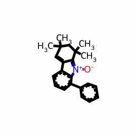 CC1(C)C=C2C(=[N+]([O-])c3c2cccc3-c2ccccc2)C(C)(C)C1